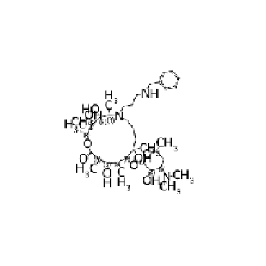 CC[C@H]1OC(=O)[C@H](C)[C@@H](O)[C@H](C)[C@@H](O[C@@H]2O[C@H](C)C[C@H](N(C)C)[C@H]2O)C(C)(O)CCCN(CCCNCc2ccccc2)[C@H](C)[C@@H](O)[C@]1(C)O